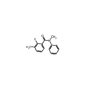 Cc1cccc(C(=O)N(C)c2ccccc2)c1F